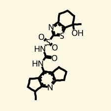 CC1CCc2c1nc1c(c2NC(=O)NS(=O)(=O)c2nc3c(s2)C(C)(O)CCC3)CCC1